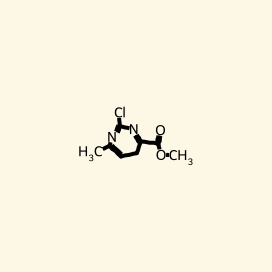 COC(=O)C1=NC(Cl)=NC(C)=CC1